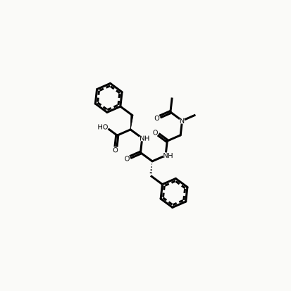 CC(=O)N(C)CC(=O)N[C@H](Cc1ccccc1)C(=O)N[C@H](Cc1ccccc1)C(=O)O